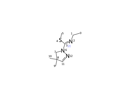 CC/N=C(\SC)N1CC(C)(C)C=N1